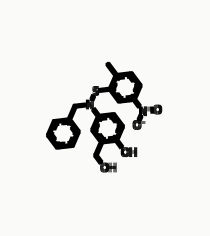 Cc1ccc([N+](=O)[O-])cc1SN(Cc1ccccc1)c1ccc(O)c(CO)c1